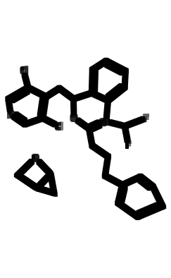 C1OC2CC12.O=C(CCCc1ccccc1)OC(Cc1c(Cl)cncc1Cl)c1ccccc1OC(F)F